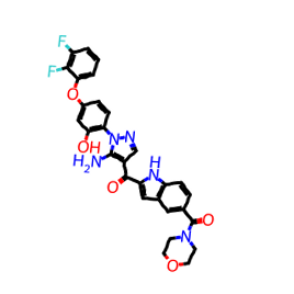 Nc1c(C(=O)c2cc3cc(C(=O)N4CCOCC4)ccc3[nH]2)cnn1-c1ccc(Oc2cccc(F)c2F)cc1O